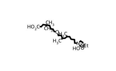 CC[N+]1([O-])CCN(CCCCC(C)CC(C)CCOCCCCC(C)(C)CCC(=O)O)C1O